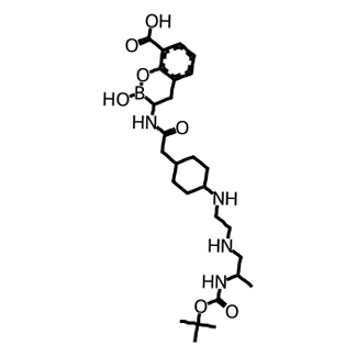 CC(CNCCNC1CCC(CC(=O)NC2Cc3cccc(C(=O)O)c3OB2O)CC1)NC(=O)OC(C)(C)C